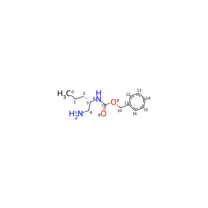 CCC[C@@H](CN)NC(=O)OCc1ccccc1